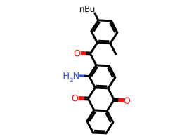 CCCCc1ccc(C)c(C(=O)c2ccc3c(c2N)C(=O)c2ccccc2C3=O)c1